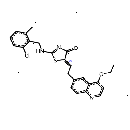 CCOc1ccnc2ccc(C/C=C3\SC(NCc4c(C)cccc4Cl)=NC3=O)cc12